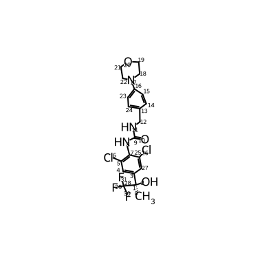 C[C@@](O)(c1cc(Cl)c(NC(=O)NCc2ccc(N3CCOCC3)cc2)c(Cl)c1)C(F)(F)F